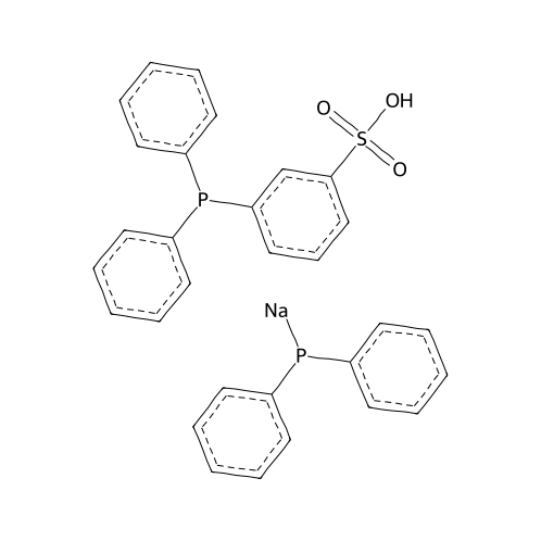 O=S(=O)(O)c1cccc(P(c2ccccc2)c2ccccc2)c1.[Na][P](c1ccccc1)c1ccccc1